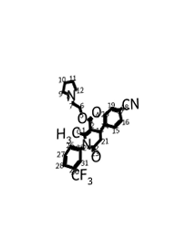 CC1=C(C(=O)OCCN2CCCC2)C(c2ccc(C#N)cc2)CC(=O)N1c1cccc(C(F)(F)F)c1